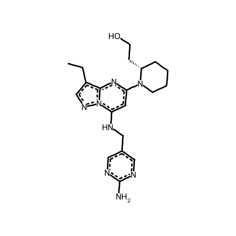 CCc1cnn2c(NCc3cnc(N)nc3)cc(N3CCCC[C@H]3CCO)nc12